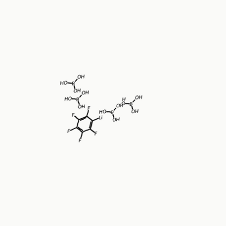 OB(O)O.OB(O)O.OB(O)O.OB(O)O.[Li][c]1c(F)c(F)c(F)c(F)c1F